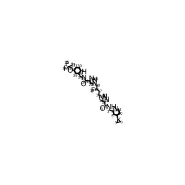 O=C(NCc1cc(C2CC2)ccn1)c1cn(CCC(F)Cn2cc(C(=O)NCc3cccc(OC(F)(F)I)c3)nn2)nn1